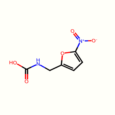 O=C(O)NCc1ccc([N+](=O)[O-])o1